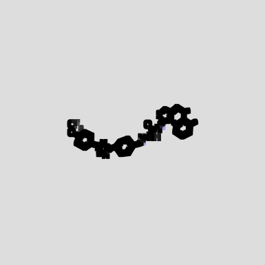 Cc1cccc2c1C(C)C=C1CS/C(=N\C(=O)N/N=C/c3ccc(-c4ncn(-c5ccc(OC(F)(F)F)cc5)n4)cc3)N12